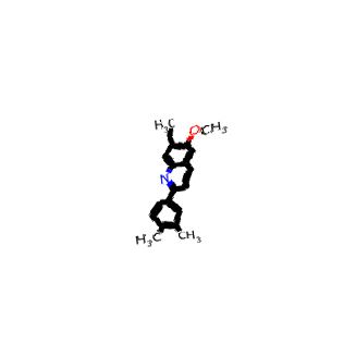 CCc1cc2nc(-c3ccc(C)c(C)c3)ccc2cc1OC